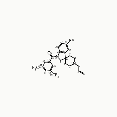 C=CCN1CCC2(CC1)CN(C(=O)c1cc(C(F)(F)F)cc(C(F)(F)F)c1)c1ccc(F)cc12